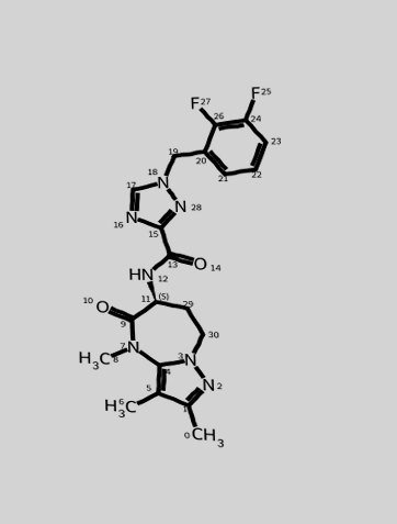 Cc1nn2c(c1C)N(C)C(=O)[C@@H](NC(=O)c1ncn(Cc3cccc(F)c3F)n1)CC2